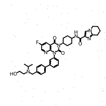 CC(C)N(CCO)Cc1ccc(-c2cccc(-n3c(=O)n(C4CCC(NC(=O)c5cn6c(n5)CCCC6)CC4)c(=O)c4cc(F)cnc43)c2)cc1